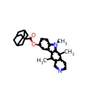 Cc1c2cnccc2c(C)c2c1c1cc(OC(=O)C34CC5CC(CC(C5)C3)C4)ccc1n2C